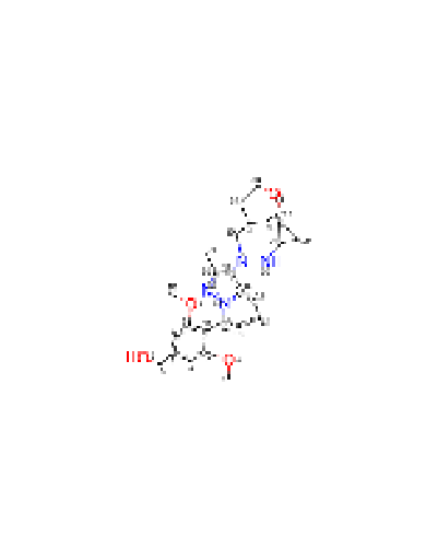 COc1cc(CO)cc(OC)c1-c1cccc2c(N(CC3CCOCC3)NC3CC3)c(C)nn12